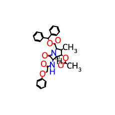 CC(=O)OC1C(C)C(C(=O)OC(c2ccccc2)c2ccccc2)N2C(=O)C(NC(=O)COc3ccccc3)[C@@H]12